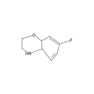 FC1=CC2OCCNC2C=C1